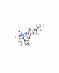 Bc1cc([C@H](C)C2CC2)c(NC(=O)NS(=O)(=O)c2cc(C(C)(C)O)co2)c2c1CCC2